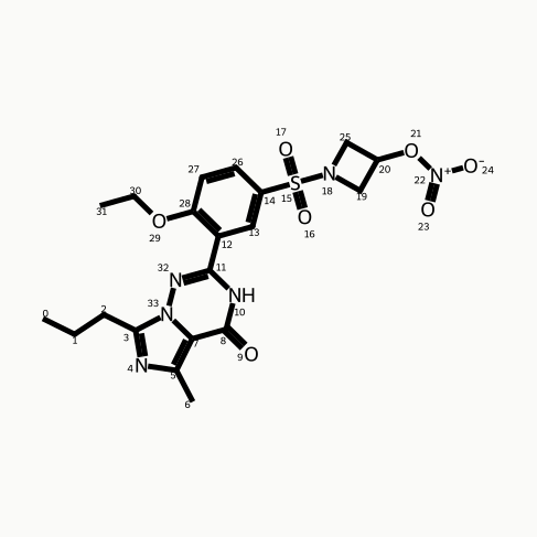 CCCc1nc(C)c2c(=O)[nH]c(-c3cc(S(=O)(=O)N4CC(O[N+](=O)[O-])C4)ccc3OCC)nn12